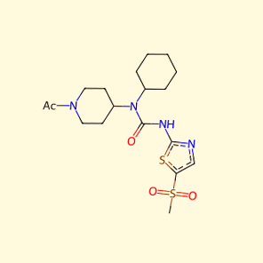 CC(=O)N1CCC(N(C(=O)Nc2ncc(S(C)(=O)=O)s2)C2CCCCC2)CC1